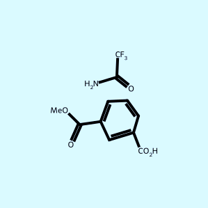 COC(=O)c1cccc(C(=O)O)c1.NC(=O)C(F)(F)F